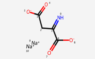 N=C(CC(=O)[O-])C(=O)[O-].[Na+].[Na+]